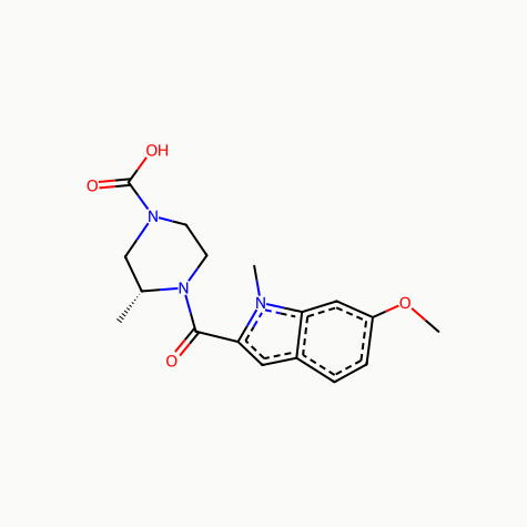 COc1ccc2cc(C(=O)N3CCN(C(=O)O)C[C@H]3C)n(C)c2c1